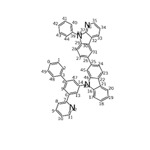 c1ccc(-c2cc(-c3ccccn3)cc(-n3c4ccccc4c4ccc(-c5ccc6c(c5)c5cccnc5n6-c5ccccc5)cc43)c2)cc1